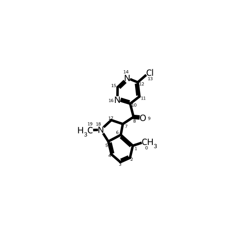 Cc1cccc2c1C(C(=O)c1cc(Cl)ncn1)CN2C